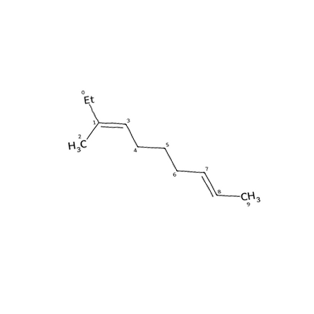 [CH2]CC(C)=CCCCC=CC